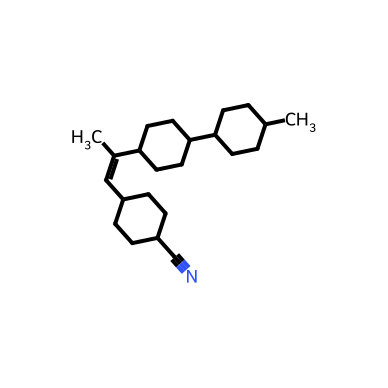 CC(=CC1CCC(C#N)CC1)C1CCC(C2CCC(C)CC2)CC1